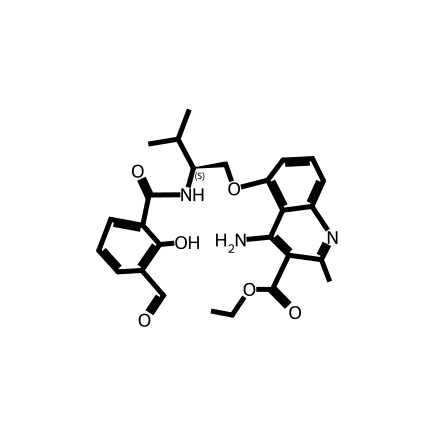 CCOC(=O)c1c(C)nc2cccc(OC[C@@H](NC(=O)c3cccc(C=O)c3O)C(C)C)c2c1N